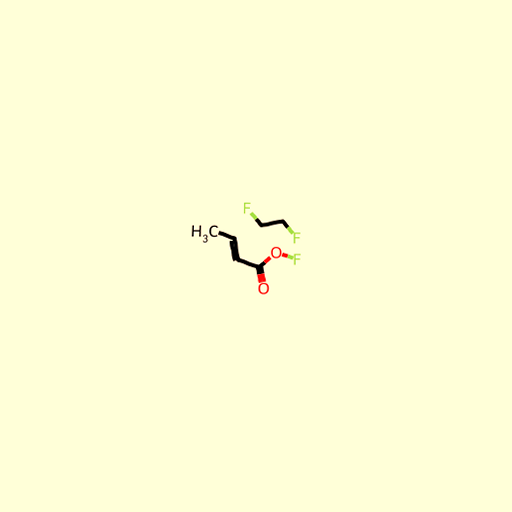 C/C=C/C(=O)OF.FCCF